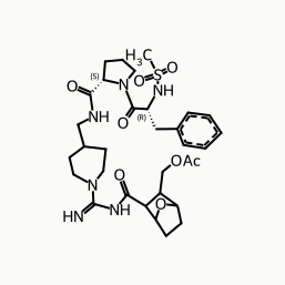 CC(=O)OCC1C2CCC(O2)C1C(=O)NC(=N)N1CCC(CNC(=O)[C@@H]2CCCN2C(=O)[C@@H](Cc2ccccc2)NS(C)(=O)=O)CC1